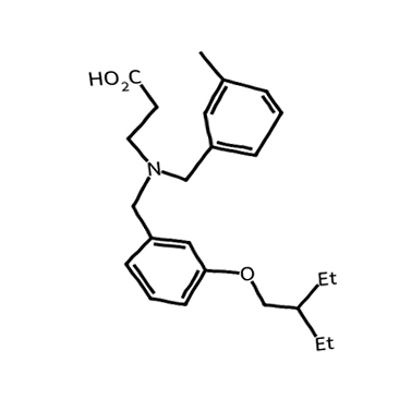 CCC(CC)COc1cccc(CN(CCC(=O)O)Cc2cccc(C)c2)c1